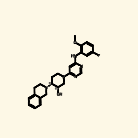 COc1ccc(F)cc1Nc1cc(N2CC[C@@H](N3CCc4ccccc4C3)[C@H](O)C2)ncn1